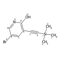 C[Si](C)(C)C#Cc1cc(Br)cnc1O